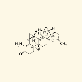 C=C1CC[C@]2(O1)[C@H]1C[C@H]1[C@H]1[C@@H]3[C@H]4C[C@H]4C4=C(N)C(=O)CC[C@@H]4[C@H]3CC[C@@]12CC